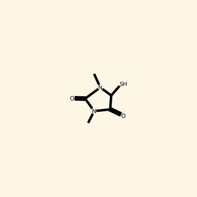 CN1C(=O)C(S)N(C)C1=O